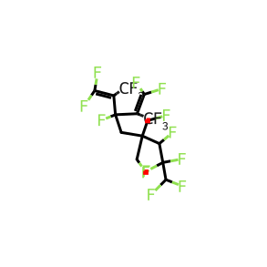 FCC(CF)(CC(F)(C(=C(F)F)C(F)(F)F)C(=C(F)F)C(F)(F)F)C(F)C(F)(F)C(F)F